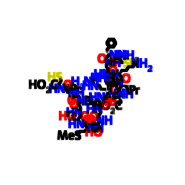 CC[C@H](C)[C@H](NC(=O)[C@H](CCCNC(=N)N)NC(=O)[C@H](CC(=O)O)NC(=O)[C@H](CC(C)C)NC(=O)[C@H](CCCCN)NC(=O)[C@H](CC(C)C)NC(=O)CNC(=O)[C@H](Cc1ccccc1)NC(=O)[C@@H](N)CS)C(=O)NCC(=O)N[C@@H](CO)C(=O)N[C@@H](CCSC)C(=O)N[C@@H](CO)C(=O)NCC(=O)N[C@@H](CC(C)C)C(=O)NCC(=O)N[C@@H](CS)C(=O)O